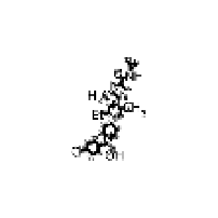 CC[C@H]1CN(c2ncc(C(=O)NC3CC3)nc2C)[C@H](C)CN1C1CCN([C@H](CO)c2ccc(Cl)cc2)CC1